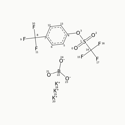 O=S(=O)(Oc1ccc(C(F)(F)F)cc1)C(F)(F)F.[K+].[K+].[K+].[O-]B([O-])[O-]